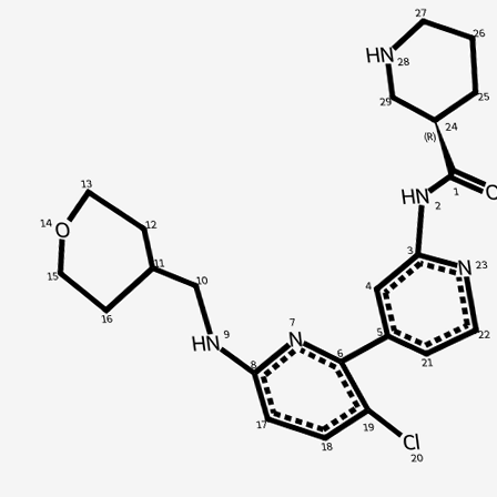 O=C(Nc1cc(-c2nc(NCC3CCOCC3)ccc2Cl)ccn1)[C@@H]1CCCNC1